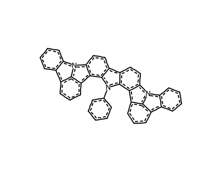 c1ccc(-n2c3c(ccc4c3c3cccc5c6ccccc6n4c53)c3ccc4c(c5cccc6c7ccccc7n4c65)c32)cc1